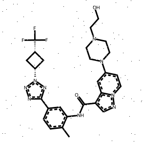 Cc1ccc(-c2nnn([C@H]3C[C@@H](C(F)(F)F)C3)n2)cc1NC(=O)c1cnn2ccc(N3CCN(CCO)CC3)cc12